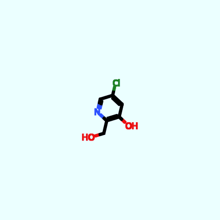 OCc1ncc(Cl)cc1O